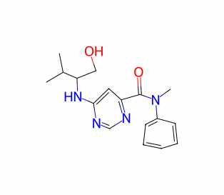 CC(C)C(CO)Nc1cc(C(=O)N(C)c2ccccc2)ncn1